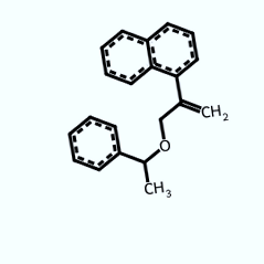 C=C(COC(C)c1ccccc1)c1cccc2ccccc12